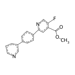 COC(=O)c1cc(-c2ccc(-c3cccnc3)cc2)ncc1F